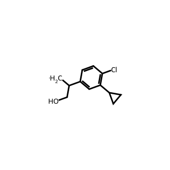 [CH2]C(CO)c1ccc(Cl)c(C2CC2)c1